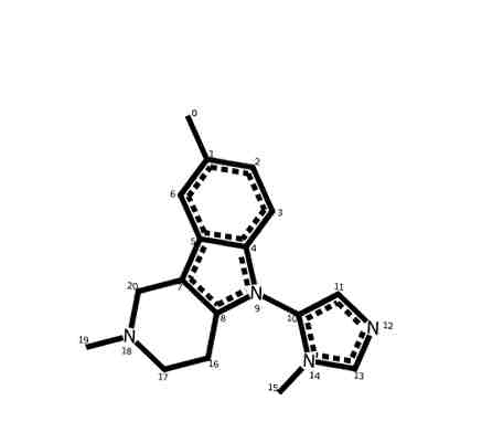 Cc1ccc2c(c1)c1c(n2-c2cncn2C)CCN(C)C1